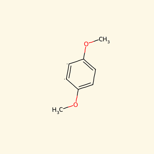 COc1[c][c]c(OC)cc1